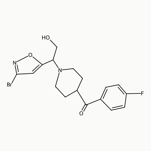 O=C(c1ccc(F)cc1)C1CCN(C(CO)c2cc(Br)no2)CC1